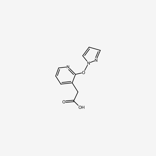 O=C(O)Cc1cccnc1On1cccn1